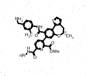 CCCNC(=O)c1ccc(-c2cc3c(cc2C(=O)Nc2ccc(CN)cc2C)-c2sccc2C[C@H](C)O3)c(C(=O)OC)n1